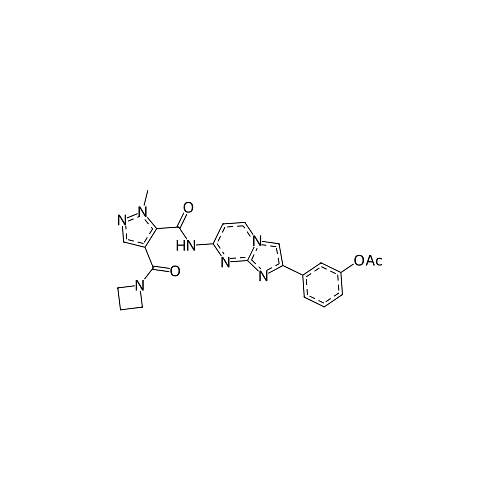 CC(=O)Oc1cccc(-c2cn3ccc(NC(=O)c4c(C(=O)N5CCC5)cnn4C)nc3n2)c1